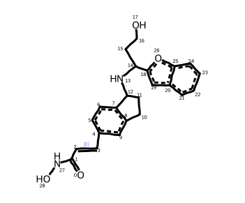 O=C(/C=C/c1ccc2c(c1)CCC2NC(CCO)c1cc2ccccc2o1)NO